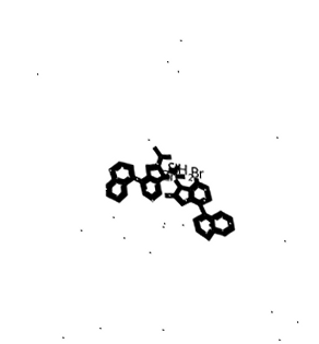 CC1=Cc2c(-c3cccc4ccccc34)ccc(Br)c2[CH]1[Zr]([CH3])([CH3])(=[SiH2])[CH]1C(C(C)C)=Cc2c(-c3cccc4ccccc34)cccc21